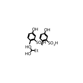 CCC(O)O.Cc1ccc(O)cc1S(=O)(=O)O.Cc1ccc(O)cc1S(=O)(=O)O